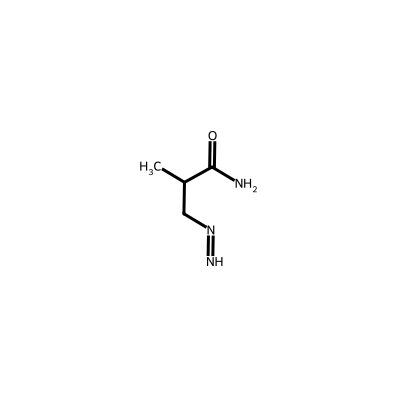 CC(CN=N)C(N)=O